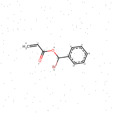 C=CC(=O)OC(Br)c1ccccc1